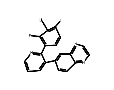 Fc1ccc(-c2ncccc2-c2ccc3nccnc3c2)c(F)c1Cl